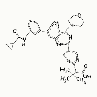 CC(C)(C)N(C(=O)O)c1ncc(-c2nc(N3CCOCC3)c3ncc(-c4cccc(NC(=O)C5CC5)c4)cc3n2)cn1